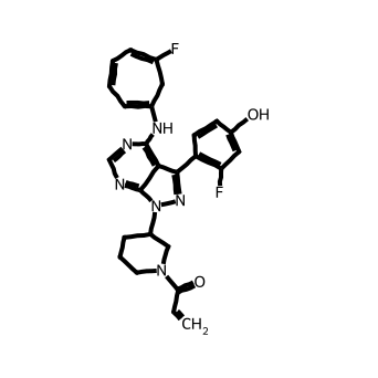 C=CC(=O)N1CCCC(n2nc(-c3ccc(O)cc3F)c3c(NC4=CC=CC=C(F)C4)ncnc32)C1